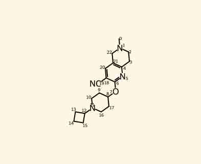 CN1CCc2nc(OC3CCN(C4CCC4)CC3)c(C#N)cc2C1